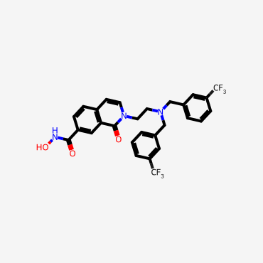 O=C(NO)c1ccc2ccn(CCN(Cc3cccc(C(F)(F)F)c3)Cc3cccc(C(F)(F)F)c3)c(=O)c2c1